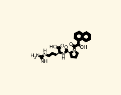 N=C(N)NCCC[C@H](NC(=O)[C@@H]1CCCN1C(=O)C(O)c1cccc2ccccc12)C(=O)O